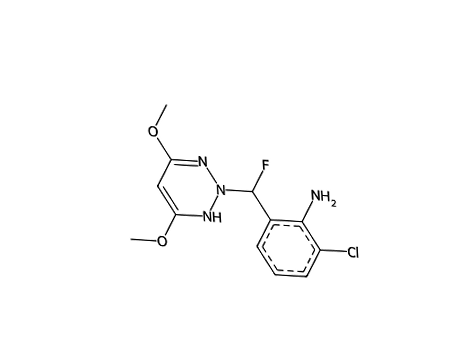 COC1=CC(OC)=NN(C(F)c2cccc(Cl)c2N)N1